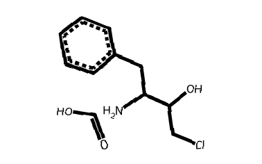 NC(Cc1ccccc1)C(O)CCl.O=CO